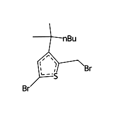 CCCCC(C)(C)c1cc(Br)sc1CBr